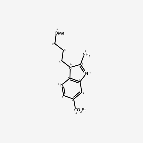 CCOC(=O)c1cnc2c(c1)nc(N)n2CCCOC